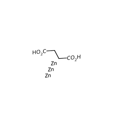 O=C(O)CCC(=O)O.[Zn].[Zn].[Zn]